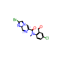 C/C=C(\N=C/C1N=CC(Br)=N1)C(=O)N(C)c1ccc(Cl)cc1C=O